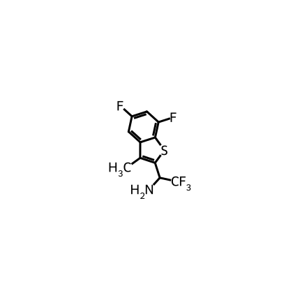 Cc1c(C(N)C(F)(F)F)sc2c(F)cc(F)cc12